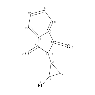 CCC1CC1N1C(=O)c2ccccc2C1=O